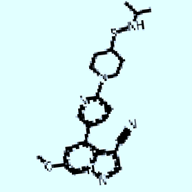 COc1cc(-c2ccc(N3CCC(SNC(C)C)CC3)nc2)c2c(C#N)cnn2c1